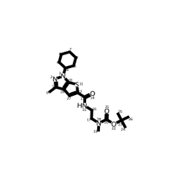 Cc1nn(C2CCCCC2)c2sc(C(=O)NCCN(C)C(=O)OC(C)(C)C)cc12